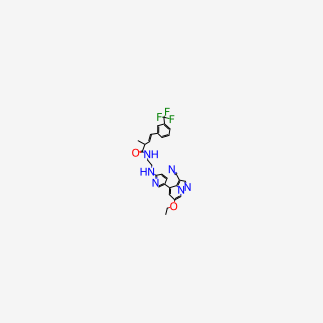 CCOc1cc(-c2ccc(NCCNC(=O)C(C)/C=C/c3cccc(C(F)(F)F)c3)nc2)c2c(C#N)cnn2c1